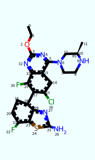 CCOc1nc(N2CCN[C@H](C)C2)c2cc(Cl)c(-c3ccc(F)c4sc(N)nc34)c(F)c2n1